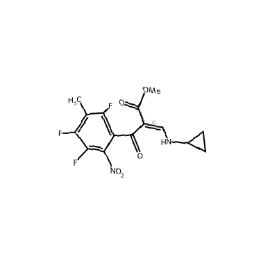 COC(=O)/C(=C/NC1CC1)C(=O)c1c(F)c(C)c(F)c(F)c1[N+](=O)[O-]